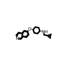 c1cc2cc(O[C@H]3CC[C@@H](NCC4CC4)CC3)ccc2cn1